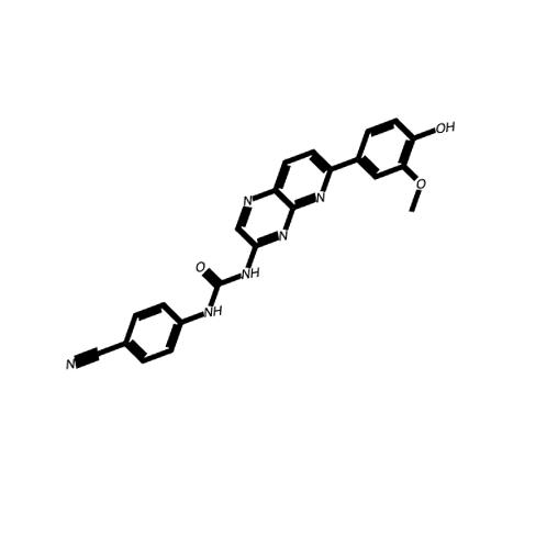 COc1cc(-c2ccc3ncc(NC(=O)Nc4ccc(C#N)cc4)nc3n2)ccc1O